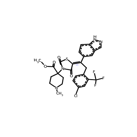 COC(=O)C1(N2C(=O)S/C(=C(/Cc3ccc(Cl)cc3C(F)(F)F)c3ccc4[nH]ncc4c3)C2=O)CCN(C)CC1